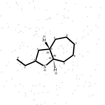 CCC1C[C@@H]2CCCCC[C@H]2S1